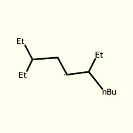 CCCCC([CH]CC(CC)CC)CC